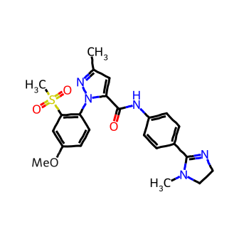 COc1ccc(-n2nc(C)cc2C(=O)Nc2ccc(C3=NCCN3C)cc2)c(S(C)(=O)=O)c1